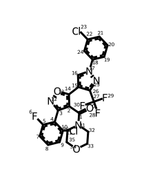 O=C(c1c(-c2c(F)cccc2Cl)noc1-c1cn(-c2cccc(Cl)c2)nc1C(F)(F)F)N1CCOCC1